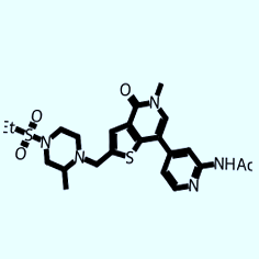 CCS(=O)(=O)N1CCN(Cc2cc3c(=O)n(C)cc(-c4ccnc(NC(C)=O)c4)c3s2)C(C)C1